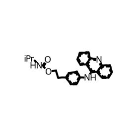 CC(C)NC(=O)OCCc1ccc(Nc2c3ccccc3nc3ccccc23)cc1